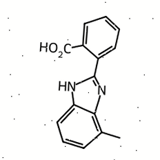 Cc1cccc2[nH]c(-c3ccccc3C(=O)O)nc12